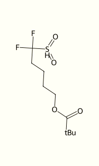 CC(C)(C)C(=O)OCCCCC(F)(F)[SH](=O)=O